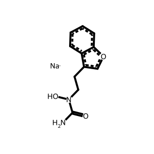 NC(=O)N(O)CCc1coc2ccccc12.[Na]